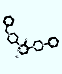 Cl.O=c1c(N2CCN(c3ccccc3)CC2)ccnn1C1CCN(Cc2ccccc2)CC1